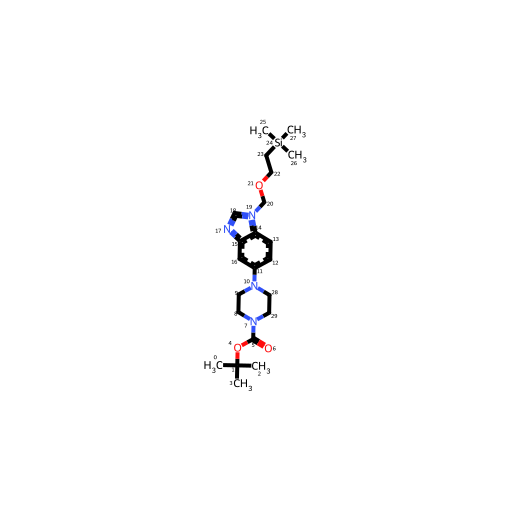 CC(C)(C)OC(=O)N1CCN(c2ccc3c(c2)ncn3COCC[Si](C)(C)C)CC1